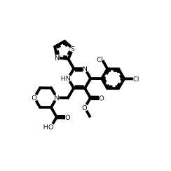 COC(=O)C1=C(CN2CCOCC2C(=O)O)NC(c2nccs2)=NC1c1ccc(Cl)cc1Cl